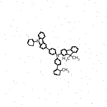 CC1CC=CC=C1c1ccc(N(c2ccc(-c3ccc4c(c3)c3ccccc3n4C3=CC=CCC3)cc2)c2ccc3c(c2)C(C)(C)c2ccccc2-3)cc1